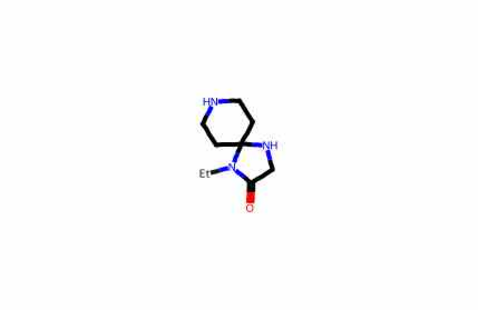 CCN1C(=O)CNC12CCNCC2